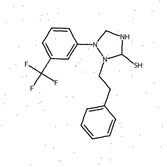 FC(F)(F)c1cccc(N2CNC(S)N2CCc2ccccc2)c1